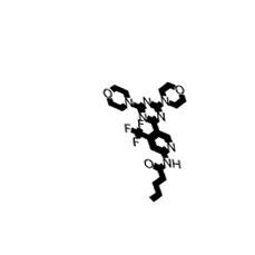 CCCCC(=O)Nc1cc(C(F)(F)F)c(-c2nc(N3CCOCC3)nc(N3CCOCC3)n2)cn1